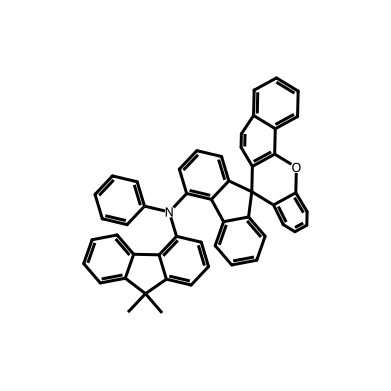 CC1(C)c2ccccc2-c2c(N(c3ccccc3)c3cccc4c3-c3ccccc3C43c4ccccc4Oc4c3ccc3ccccc43)cccc21